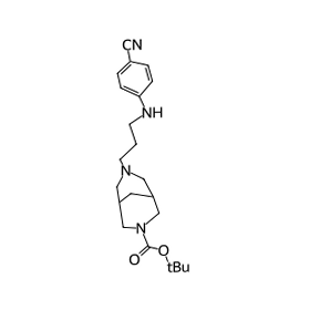 CC(C)(C)OC(=O)N1CC2CC(CN(CCCNc3ccc(C#N)cc3)C2)C1